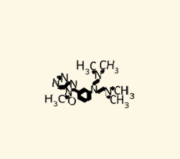 CCN(CC)CCN(CCN(CC)CC)c1cccc(-c2nc3ncncc3n2C(C)=O)c1